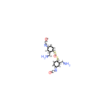 NCc1cc(N=C=O)ccc1SOSc1ccc(N=C=O)cc1CN